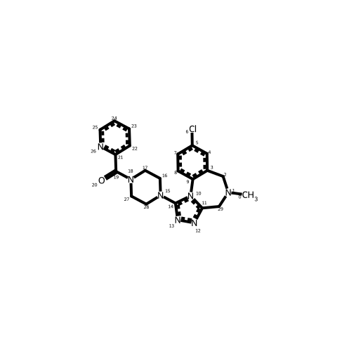 CN1Cc2cc(Cl)ccc2-n2c(nnc2N2CCN(C(=O)c3ccccn3)CC2)C1